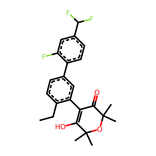 CCc1ccc(-c2ccc(C(F)F)cc2F)cc1C1=C(O)C(C)(C)OC(C)(C)C1=O